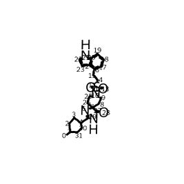 CC1CCC(C2=NC3(CCN(S(=O)(=O)CCc4cccc5[nH]ccc45)CC3)C(=O)N2)CC1